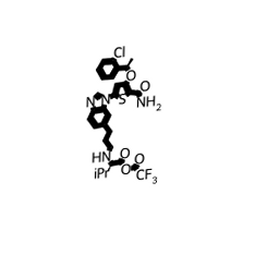 CC(C)[C@H](NCCCc1ccc2ncn(-c3cc(O[C@H](C)c4ccccc4Cl)c(C(N)=O)s3)c2c1)C(=O)OC(=O)C(F)(F)F